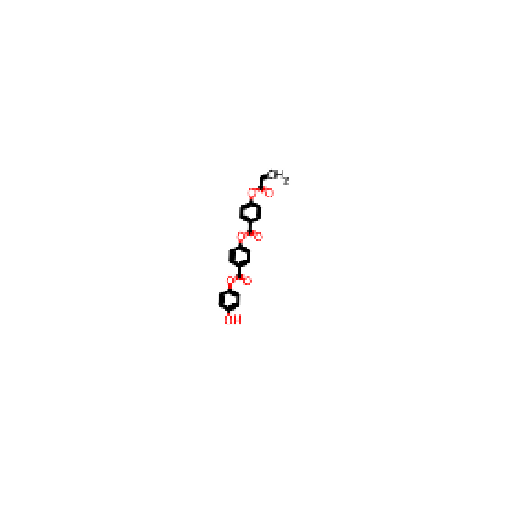 C=CC(=O)Oc1ccc(C(=O)Oc2ccc(C(=O)Oc3ccc(O)cc3)cc2)cc1